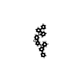 c1ccc(-c2ccc3c(c2)c2ccccc2n3-c2ccc3oc4ccc(-n5c6ccccc6c6c(-c7ccccc7)cccc65)cc4c3c2)cc1